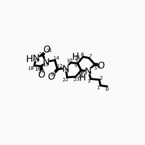 CCCCN1C(=O)CC[C@@H]2CN(C(=O)CN3C(=O)CNC3=O)CC[C@@H]21